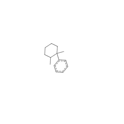 CC1CCCCC1(C)c1ccccc1